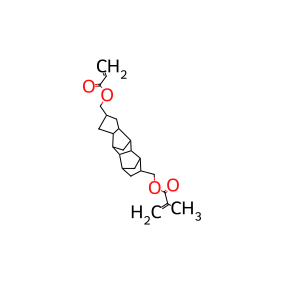 C=CC(=O)OCC1CC2C(C1)C1CC2C2C3CC(COC(=O)C(=C)C)C(C3)C12